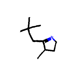 CC1CCN=C1CC(C)(C)C